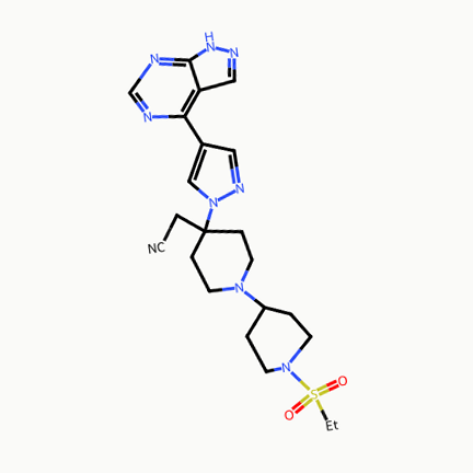 CCS(=O)(=O)N1CCC(N2CCC(CC#N)(n3cc(-c4ncnc5[nH]ncc45)cn3)CC2)CC1